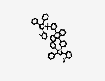 C=Nc1ccccc1-c1cc(-c2ccccc2)c(-c2ccccc2)n1-c1cccc(-c2c3ccccc3c(-c3cccc(C(C)(C)n4c(-c5ccccc5C)nc(-c5ccccc5)c4C4=CCCC=C4)c3)c3ccccc23)c1